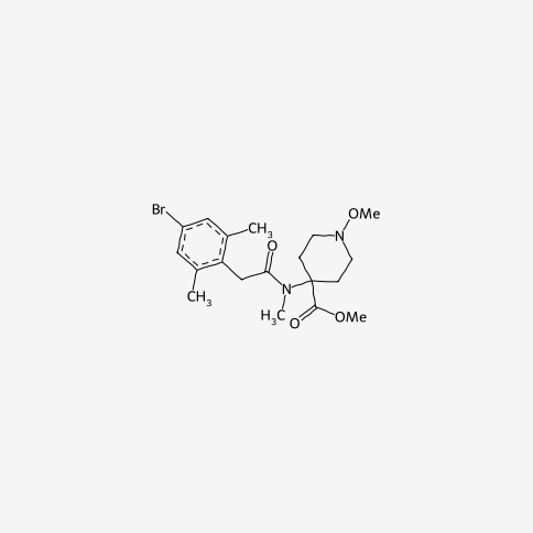 COC(=O)C1(N(C)C(=O)Cc2c(C)cc(Br)cc2C)CCN(OC)CC1